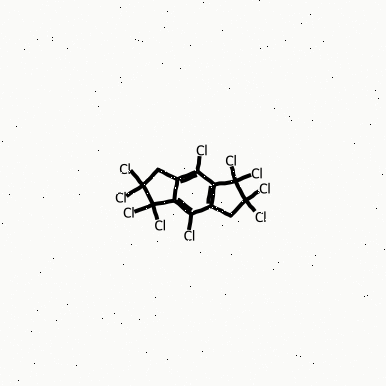 Clc1c2c(c(Cl)c3c1C(Cl)(Cl)C(Cl)(Cl)C3)C(Cl)(Cl)C(Cl)(Cl)C2